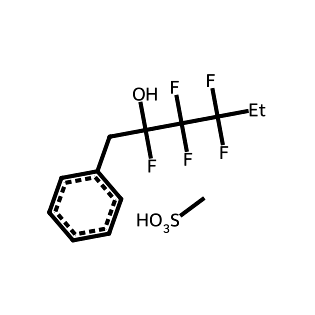 CCC(F)(F)C(F)(F)C(O)(F)Cc1ccccc1.CS(=O)(=O)O